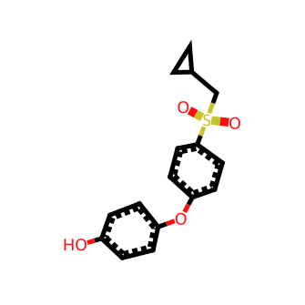 O=S(=O)(CC1CC1)c1ccc(Oc2ccc(O)cc2)cc1